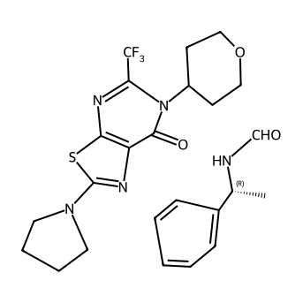 C[C@@H](NC=O)c1ccccc1.O=c1c2nc(N3CCCC3)sc2nc(C(F)(F)F)n1C1CCOCC1